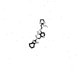 Cc1c(OCCC2(C)OCCO2)ccnc1C[S+]([O-])c1nc2ccccc2[nH]1